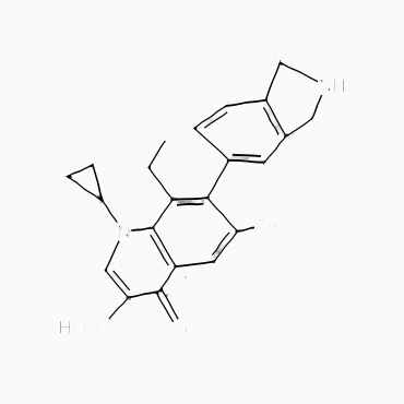 O=C(O)c1cn(C2CC2)c2c(CF)c(-c3ccc4c(c3)CNC4)c(F)cc2c1=O